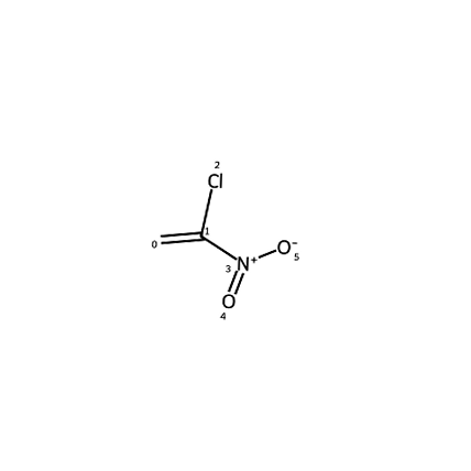 C=C(Cl)[N+](=O)[O-]